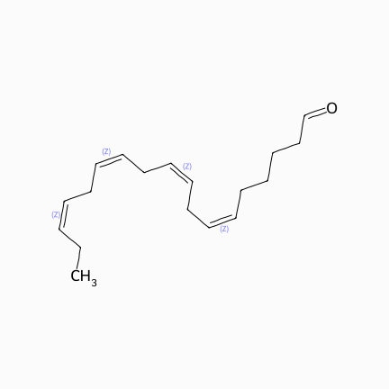 CC/C=C\C/C=C\C/C=C\C/C=C\CCCCC=O